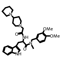 COc1ccc(CN(C)C(=O)C(Cc2c[nH]c3ccccc23)NC(=O)CN2CCC(N3CCCCC3)CC2)cc1OC